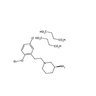 CCOc1ccc(Cl)cc1CCN1CCC[C@H](N)C1.O=C(O)CCC(=O)O.O=C(O)CCC(=O)O